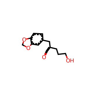 O=C=C(CCCO)Cc1ccc2c(c1)OCO2